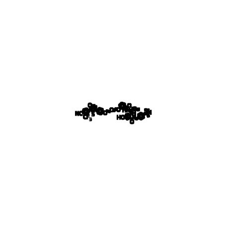 Cc1ncsc1-c1ccc(CNC(=O)[C@@H]2C[C@@H](O)CN2C(=O)C(NC(=O)c2cccc(OCCOCCOc3ccc(N4C(=S)N(c5ccc(C#N)c(C(F)(F)F)c5)C(=O)C4(C)C)cc3)c2)C(C)(C)C)cc1